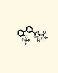 CNC(=O)c1nc(-c2cccc(-c3ccccc3OC(F)(F)F)c2)n[nH]1